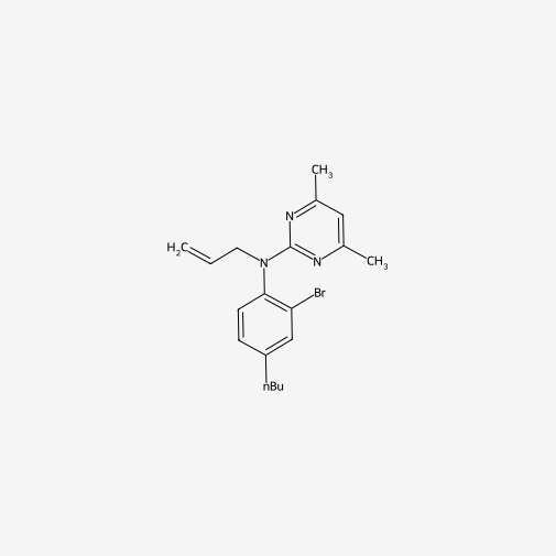 C=CCN(c1nc(C)cc(C)n1)c1ccc(CCCC)cc1Br